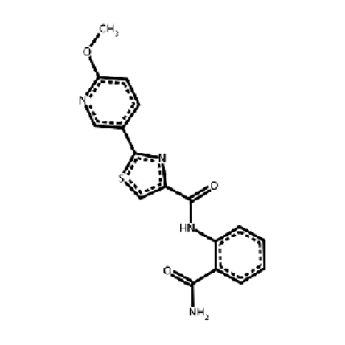 COc1ccc(-c2nc(C(=O)Nc3ccccc3C(N)=O)cs2)cn1